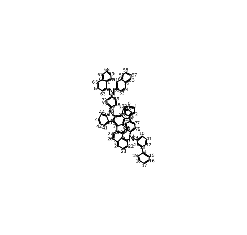 c1ccc(-c2ccc(N(c3cccc(-c4ccccc4)c3)c3cccc4ccc5c(sc6c7ccccc7c7c(c8ccccc8n7-c7ccc(N(c8ccc9ccccc9c8)c8cccc9ccccc89)cc7)c56)c34)cc2)cc1